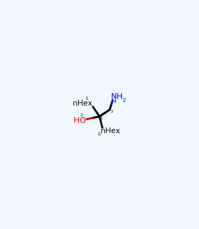 CCCCCCC(O)(CN)CCCCCC